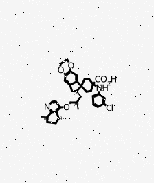 C[C@@H](COc1ccnc2c1[C@H](C)CC[C@H]2C)C[C@H]1Cc2cc3c(cc2C12CCC(Nc1cccc(Cl)c1)(C(=O)O)CC2)OCCO3